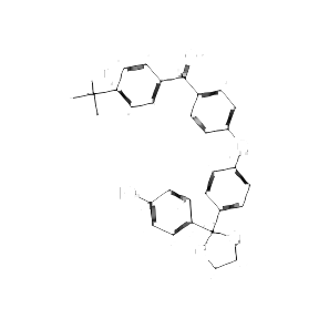 CC(C)C(C)(C)c1ccc(C(=O)c2ccc(Oc3ccc(C4(c5ccc(O)cc5)OCCO4)cc3)cc2)cc1